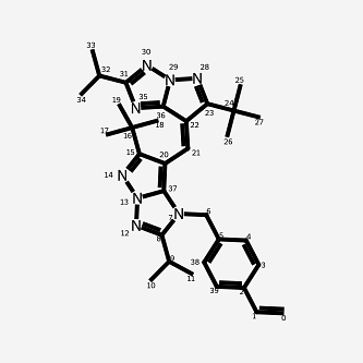 C=Cc1ccc(Cn2c(C(C)C)nn3nc(C(C)(C)C)c(/C=c4/c(C(C)(C)C)nn5nc(C(C)C)nc45)c23)cc1